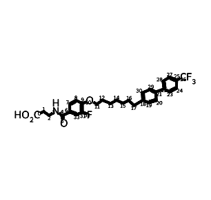 O=C(O)CCNC(=O)c1ccc(OCCCCCCCc2ccc(-c3ccc(C(F)(F)F)cc3)cc2)c(F)c1